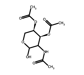 CC(=O)NC1C(O)OC[C@@H](OC(C)=O)[C@H]1OC(C)=O